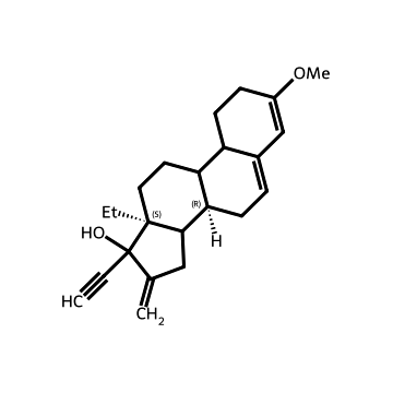 C#CC1(O)C(=C)CC2[C@@H]3CC=C4C=C(OC)CCC4C3CC[C@@]21CC